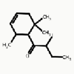 CCC(I)C(=O)C1C(C)C=CCC1(C)C